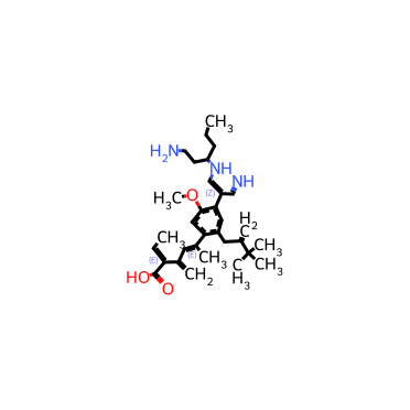 C=C(/C=C(\C)c1cc(OC)c(/C(C=N)=C/NC(CCC)CCN)cc1CC(=C)C(C)(C)C)/C(=C\C)C(=O)O